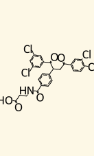 O=C(O)CCNC(=O)c1ccc(C(CC(=O)c2ccc(Cl)c(Cl)c2)C(=O)c2cc(Cl)cc(Cl)c2)cc1